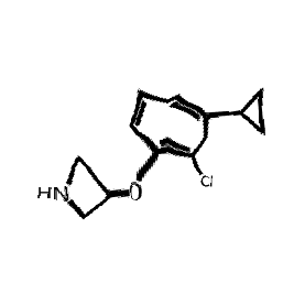 Clc1c(OC2CNC2)cccc1C1CC1